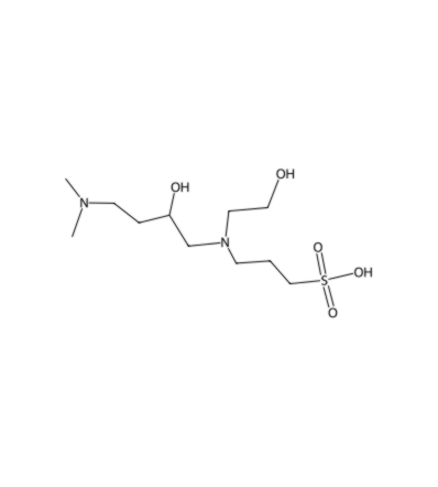 CN(C)CCC(O)CN(CCO)CCCS(=O)(=O)O